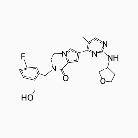 Cc1cnc(NC2CCOC2)nc1-c1cc2n(c1)CCN(Cc1cc(F)ccc1CO)C2=O